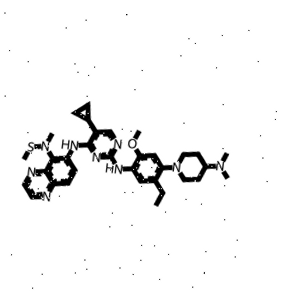 CCc1cc(Nc2ncc(C3CC3)c(Nc3ccc4nccnc4c3N(C)SC)n2)c(OC)cc1N1CCC(N(C)C)CC1